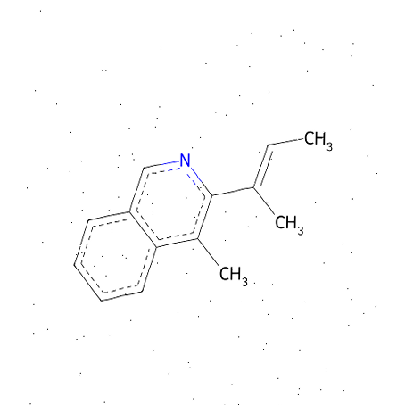 C/C=C(\C)c1ncc2ccccc2c1C